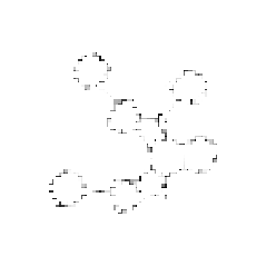 c1ccc(-c2ccc3sc4c5ccccc5c5c(c6ccc(-c7ccccc7)cc6n5-c5ccccc5)c4c3c2)cc1